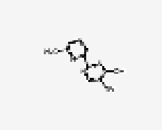 Cc1cccc(-c2ncc(C(C)C)c(O)n2)n1